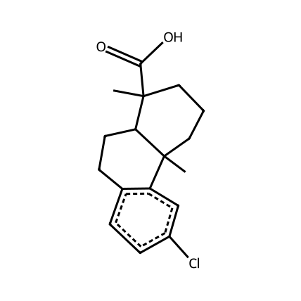 CC1(C(=O)O)CCCC2(C)c3cc(Cl)ccc3CCC12